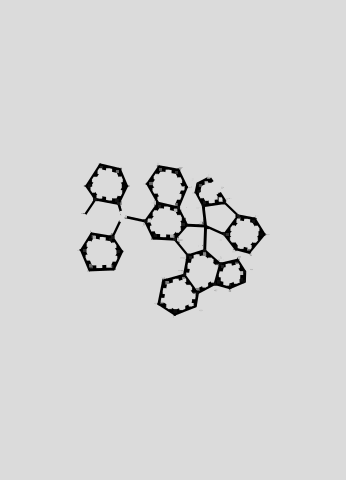 Cc1ccccc1N(c1ccccc1)c1cc2c(c3ccccc13)C1(c3ccccc3-c3ccccc31)c1c-2c2ccccc2c2ccccc12